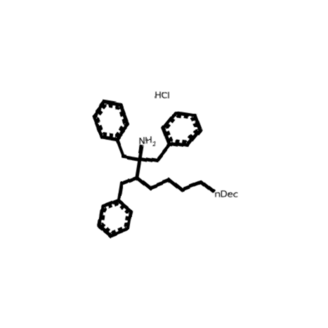 CCCCCCCCCCCCCCC(Cc1ccccc1)C(N)(Cc1ccccc1)Cc1ccccc1.Cl